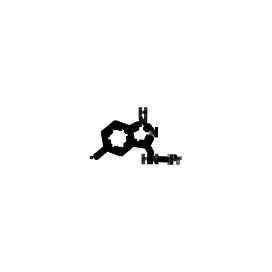 [CH2]c1ccc2[nH]nc(NC(C)C)c2c1